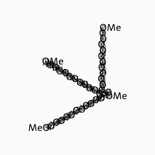 COCCOCCOCCOCCOCCOCCOCCOCCOCCOCCOCCOc1cc(C(=O)OC)cc(OCCOCCOCCOCCOCCOCCOCCOCCOCCOCCOCCOC)c1OCCOCCOCCOCCOCCOCCOCCOCCOCCOCCOCCOC